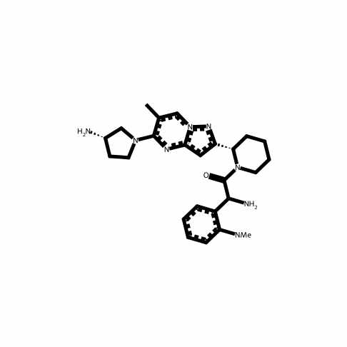 CNc1ccccc1C(N)C(=O)N1CCCC[C@H]1c1cc2nc(N3CC[C@H](N)C3)c(C)cn2n1